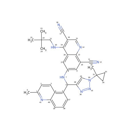 Cc1ccc2c(C(Nc3cc(C#N)c4ncc(C#N)c(NCC(C)(C)C)c4c3)c3cn(C4(C)CC4)nn3)cccc2n1